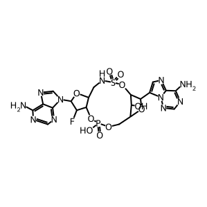 Nc1ncnc2c1ncn2C1OC2CNS(=O)(=O)OC3C(c4cnc5c(N)ncnn45)OC(COP(=O)(O)OC2C1F)C3O